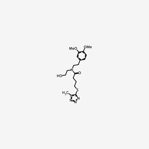 COc1ccc(CCN(CCO)C(=O)CCCSc2nnnn2C)cc1OC